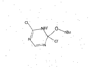 CCCCOC1(Cl)N=CN=C(Cl)N1